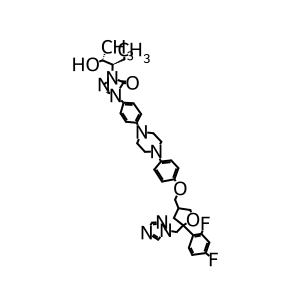 CC[C@H]([C@@H](C)O)n1ncn(-c2ccc(N3CCN(c4ccc(OCC5COC(Cn6cncn6)(c6ccc(F)cc6F)C5)cc4)CC3)cc2)c1=O